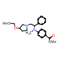 COCOC1CCN(CC(c2ccccc2)N(C)c2ccc(C(=O)OC)cc2)C1